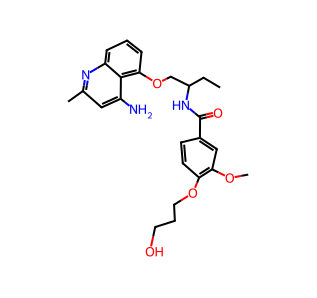 CCC(COc1cccc2nc(C)cc(N)c12)NC(=O)c1ccc(OCCCO)c(OC)c1